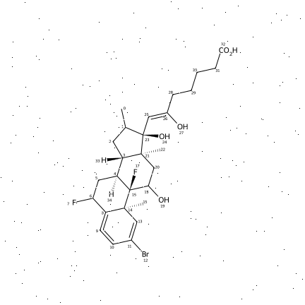 CC1C[C@H]2[C@@H]3CC(F)C4=C=CC(Br)=C[C@]4(C)[C@@]3(F)C(O)C[C@]2(C)[C@@]1(O)C=C(O)CCCCC(=O)O